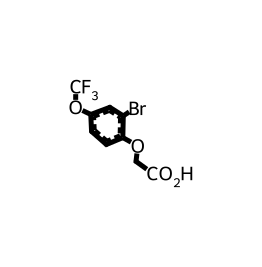 O=C(O)COc1ccc(OC(F)(F)F)cc1Br